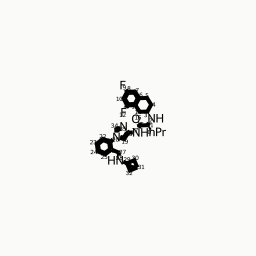 CCC[C@H](N[C@H]1CCc2cc(F)cc(F)c2C1)C(=O)Nc1cn(-c2ccccc2CNC23CC(C2)C3)cn1